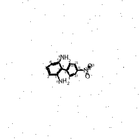 Nc1cccc(N)c1-c1ccc([N+](=O)[O-])cc1